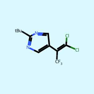 CC(C)(C)c1ncc(C(=C(Cl)Cl)C(F)(F)F)cn1